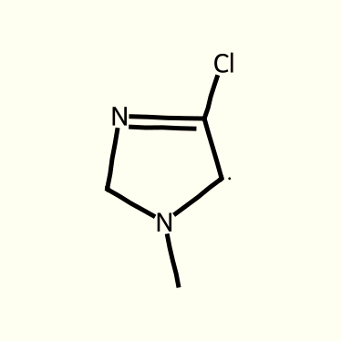 CN1[CH]C(Cl)=NC1